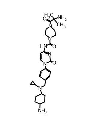 CC(C)(N)C(=O)N1CCN(C(=O)Nc2ccn(-c3ccc(CN(C4CCC(N)CC4)C4CC4)cc3)c(=O)n2)CC1